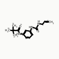 C=CCNC(=S)Nc1cccc(NC(=O)C(C)(C)C)c1